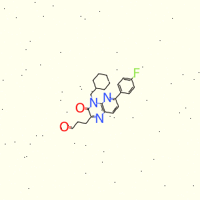 O=CCCc1nc2ccc(-c3ccc(F)cc3)nc2n(CC2CCCCC2)c1=O